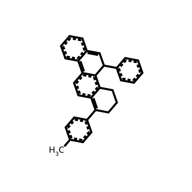 Cc1ccc(C2=c3ccc4c(c3CCC2)C(c2ccccc2)C=c2ccccc2=4)cc1